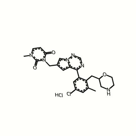 Cc1cc(Cl)cc(-c2ncnn3cc(Cn4c(=O)ccn(C)c4=O)cc23)c1CC1CNCCO1.Cl